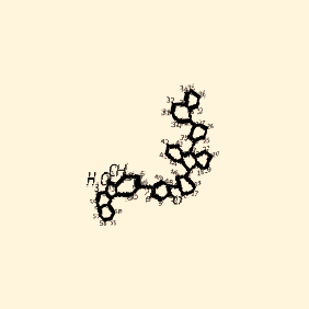 CC1(C)c2ccc(-c3ccc4oc5ccc(-c6c7ccccc7c(-c7cccc(-c8cccc9ccccc89)c7)c7ccccc67)cc5c4c3)cc2-c2c1ccc1ccccc21